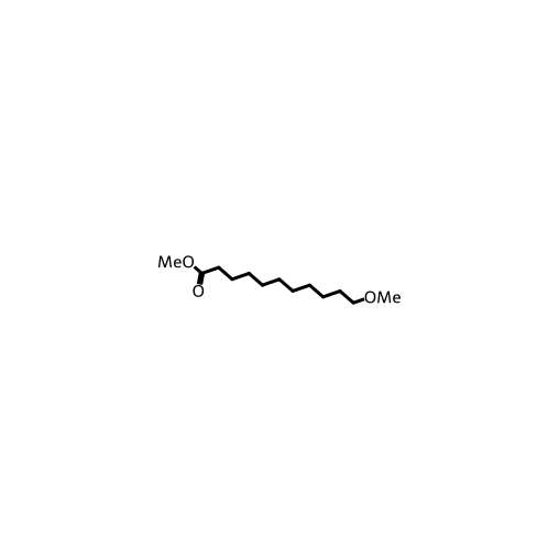 COCCCCCCCCCCC(=O)OC